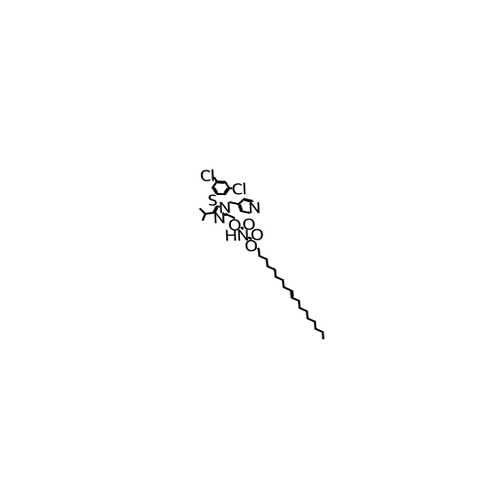 CCCCCCCCC=CCCCCCCCCOC(=O)NC(=O)OCc1nc(C(C)C)c(Sc2cc(Cl)cc(Cl)c2)n1Cc1ccncc1